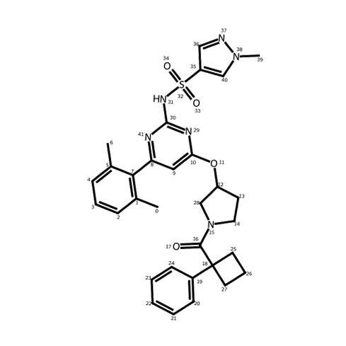 Cc1cccc(C)c1-c1cc(OC2CCN(C(=O)C3(c4ccccc4)CCC3)C2)nc(NS(=O)(=O)c2cnn(C)c2)n1